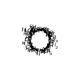 C/C=C/C[C@@H](C)[C@@H](O)[C@H]1C(=O)N[C@@H](CC)C(=O)N(C)CC(=O)N(C)[C@@H](CC(C)C)C(=O)NC(C(C)C)C(=O)N(C)[C@@H](CC(C)C)C(=O)NC(C)C(=O)N[C@H](C)C(=O)N(C)[C@@H](CC(C)C)C(=O)N(C)C(CC(C)C)C(=O)N(C)[C@@H](C(C)C)C(=O)N1C